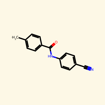 [CH2]c1ccc(C(=O)Nc2ccc(C#N)cc2)cc1